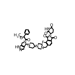 CO[C@@H](C(=O)N1Cc2[nH]n[c]c2C1N1CCC(N2CCN(Cc3ccc4c(c3F)C(=O)N(C3CCC(=O)NC3=O)C4=O)CC2)CC1)c1ccccc1